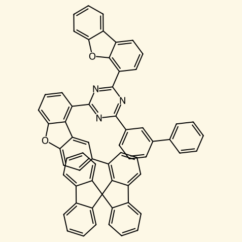 c1ccc(-c2cccc(-c3nc(-c4cccc5c4oc4ccccc45)nc(-c4cccc5oc6ccc(-c7cccc8c7C7(c9ccccc9-c9ccccc97)c7ccccc7-8)cc6c45)n3)c2)cc1